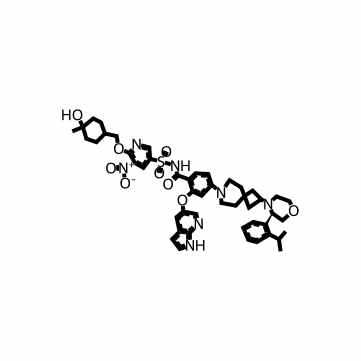 CC(C)c1ccccc1[C@@H]1COCCN1C1CC2(CCN(c3ccc(C(=O)NS(=O)(=O)c4cnc(OCC5CCC(C)(O)CC5)c([N+](=O)[O-])c4)c(Oc4cnc5[nH]ccc5c4)c3)CC2)C1